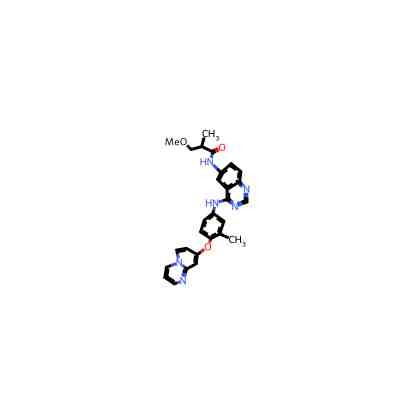 COCC(C)C(=O)Nc1ccc2ncnc(Nc3ccc(OC4=CC5=NC=C=CN5C=C4)c(C)c3)c2c1